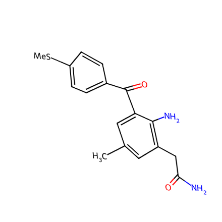 CSc1ccc(C(=O)c2cc(C)cc(CC(N)=O)c2N)cc1